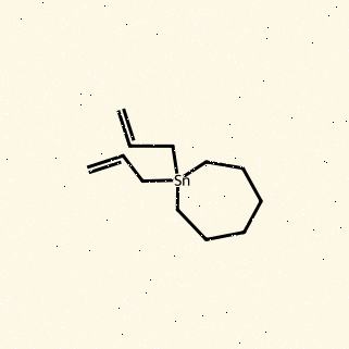 C=C[CH2][Sn]1([CH2]C=C)[CH2]CCCC[CH2]1